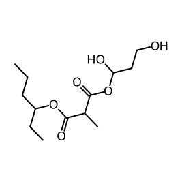 CCCC(CC)OC(=O)C(C)C(=O)OC(O)CCO